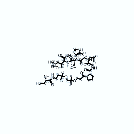 CC(C)C[C@H](NC(=O)[C@@H]1CCCN1C(=O)CCOC(C)(C)COC(C)(C)CCNC(=O)[C@@H](N)CS)C(=O)N[C@@H](Cc1cnc[nH]1)C(=O)N[C@@H](CO)C(=O)N[C@H](C(N)=O)C(C)CP(=O)(O)O